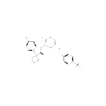 C[C@H]1CC[C@@H](COc2ccc(C(F)(F)F)cc2)CN1CC(=O)C1(c2ccc(Cl)cc2)CCC1